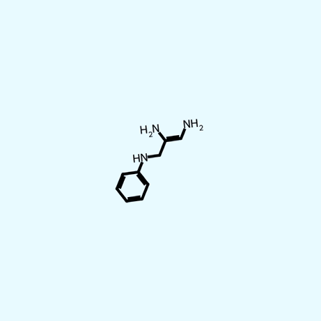 N/C=C(\N)CNc1ccccc1